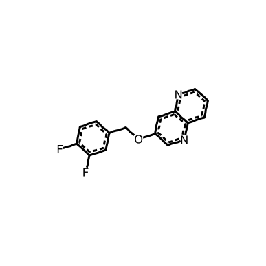 Fc1ccc(COc2cnc3cccnc3c2)cc1F